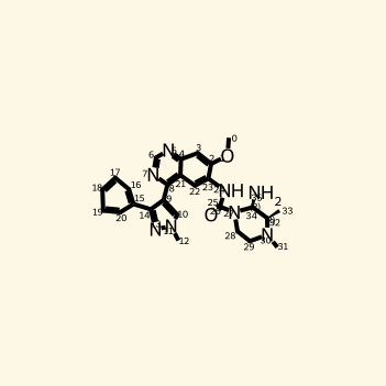 COc1cc2ncnc(-c3cn(C)nc3-c3ccccc3)c2cc1NC(=O)N1CCN(C)[C@H](C)[C@@H]1N